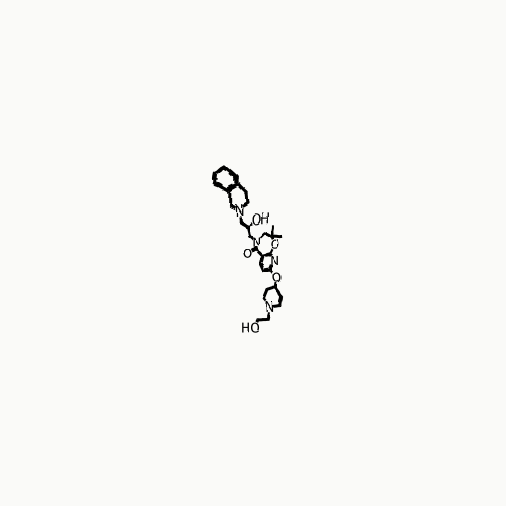 CC1(C)CN(C[C@H](O)CN2CCc3ccccc3C2)C(=O)c2ccc(OC3CCN(CCO)CC3)nc2O1